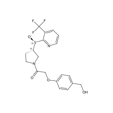 O=C(COc1ccc(CO)cc1)N1CC[C@H]([S@@+]([O-])c2ncccc2C(F)(F)F)C1